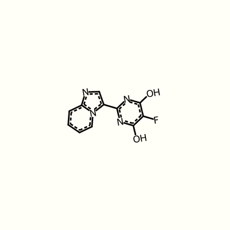 Oc1nc(-c2cnc3ccccn23)nc(O)c1F